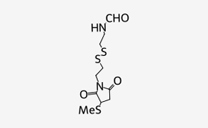 CSC1CC(=O)N(CCSSCCNC=O)C1=O